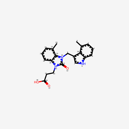 Cc1cccc2[nH]cc(Cn3c(=O)n(CCC(=O)O)c4cccc(C)c43)c12